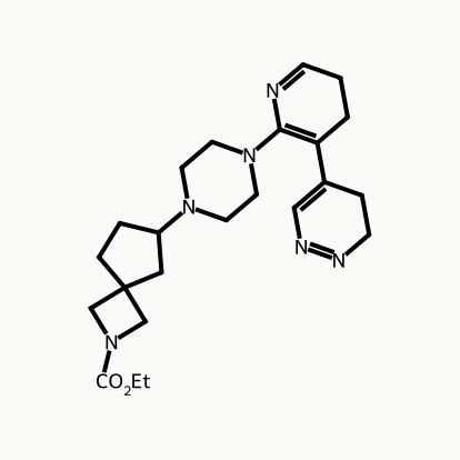 CCOC(=O)N1CC2(CCC(N3CCN(C4=C(C5=CN=NCC5)CCC=N4)CC3)C2)C1